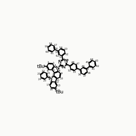 CC(C)(C)c1ccc2c(c1)c1c(ccc3c4cc(C(C)(C)C)ccc4n(-c4ccccc4)c31)n2-c1nc(-c2ccc(-c3cccc(-c4ccccc4)c3)cc2)nc(-c2cccc(-c3ccccc3)c2)n1